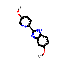 CCCOc1ccc(-c2nc3cc(OC(F)(F)F)ccc3[nH]2)nc1